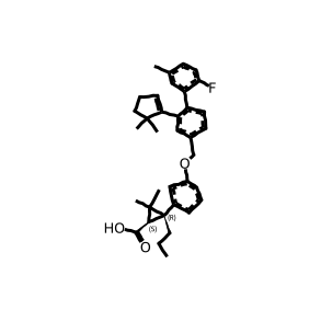 CCC[C@@]1(c2cccc(OCc3ccc(-c4cc(C)ccc4F)c(C4=CCCC4(C)C)c3)c2)[C@@H](C(=O)O)C1(C)C